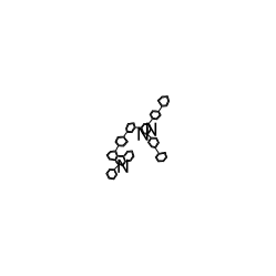 c1ccc(-c2ccc(-c3cc(-c4cccc(-c5ccc(-c6cccc7c(-c8ccccc8)nc8ccccc8c67)cc5)c4)nc(-c4ccc(-c5ccccc5)cc4)n3)cc2)cc1